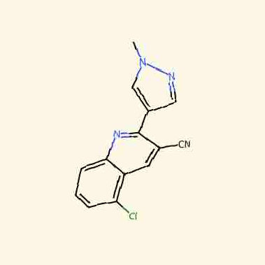 Cn1cc(-c2nc3cccc(Cl)c3cc2C#N)cn1